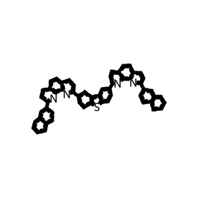 c1ccc2cc(-c3ccc4ccc5ccc(-c6ccc7sc8ccc(-c9ccc%10ccc%11ccc(-c%12ccc%13ccccc%13c%12)nc%11c%10n9)cc8c7c6)nc5c4n3)ccc2c1